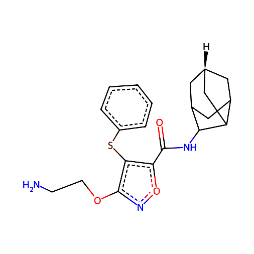 NCCOc1noc(C(=O)NC2C3CC4C[C@@H](C3)CC42)c1Sc1ccccc1